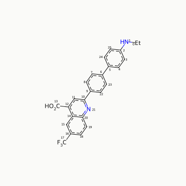 CCNc1ccc(-c2ccc(-c3cc(C(=O)O)c4cc(C(F)(F)F)ccc4n3)cc2)cc1